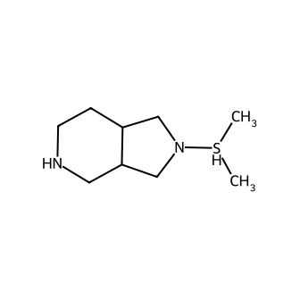 C[SH](C)N1CC2CCNCC2C1